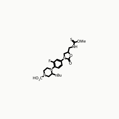 CCCCC1CN(C(=O)O)CCN1c1ccc(N2CC(CNC(=S)OC)OC2=O)cc1F